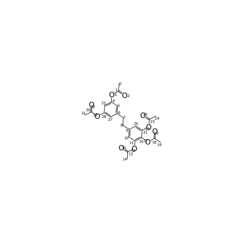 CC(=O)Oc1cc(CCc2cc(OC(C)=O)c(OC(C)=O)c(OC(C)=O)c2)cc(OC(C)=O)c1